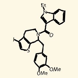 CCn1cc(C(=O)N2CCc3c(I)csc3C2Cc2ccc(OC)c(OC)c2)c2ccccc21